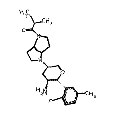 Cc1ccc(F)c([C@H]2OC[C@H](N3CCC4C3CCN4C(=O)C(C)C)C[C@@H]2N)c1